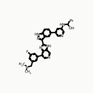 CC(C)C(O)Nc1cncc(-c2ccc3[nH]nc(-c4nc5c(-c6cc(F)cc(CN(C)C)c6)cncc5[nH]4)c3c2)c1